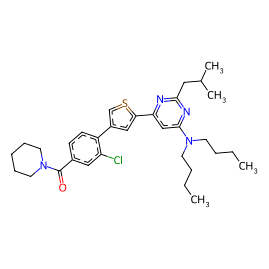 CCCCN(CCCC)c1cc(-c2cc(-c3ccc(C(=O)N4CCCCC4)cc3Cl)cs2)nc(CC(C)C)n1